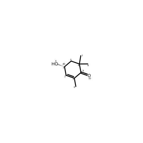 CC1=C[C@H](O)CC(C)(C)C1=O